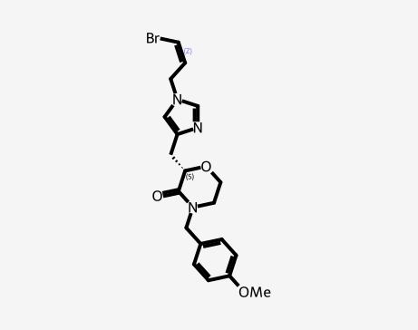 COc1ccc(CN2CCO[C@@H](Cc3cn(C/C=C\Br)cn3)C2=O)cc1